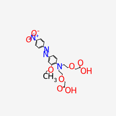 CCOc1cc(/N=N/c2ccc([N+](=O)[O-])cc2)ccc1N(CCOCC(=O)O)CCOCC(=O)O